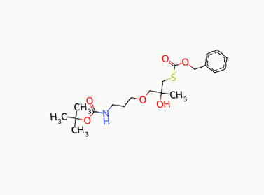 CC(O)(COCCCNC(=O)OC(C)(C)C)CSC(=O)OCc1ccccc1